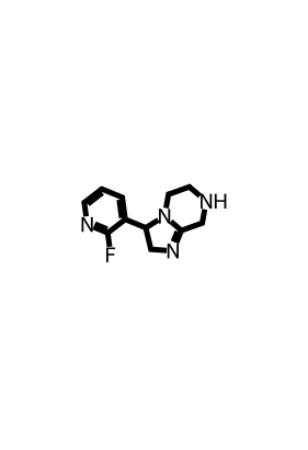 Fc1ncccc1C1CN=C2CNCCN21